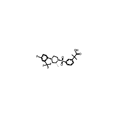 C[C@@H]1CN(c2ccc(F)cc2C(F)(F)F)CCN1S(=O)(=O)c1cccc(C(C)(C)C(=O)O)c1